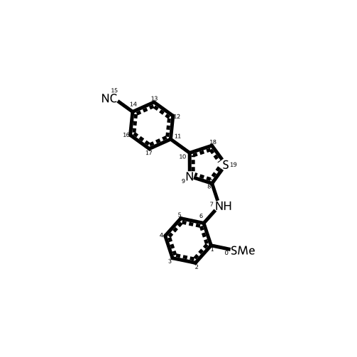 CSc1ccccc1Nc1nc(-c2ccc(C#N)cc2)cs1